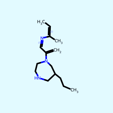 C=C(/C=N\C(C)=C/C)N1CCNCC(CCC)C1